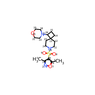 Cc1noc(C)c1S(=O)(=O)N1CCC2(CCC2N2CCOCC2)CC1